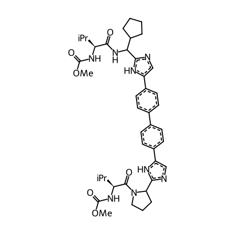 COC(=O)N[C@H](C(=O)NC(c1ncc(-c2ccc(-c3ccc(-c4cnc(C5CCCN5C(=O)[C@@H](NC(=O)OC)C(C)C)[nH]4)cc3)cc2)[nH]1)C1CCCC1)C(C)C